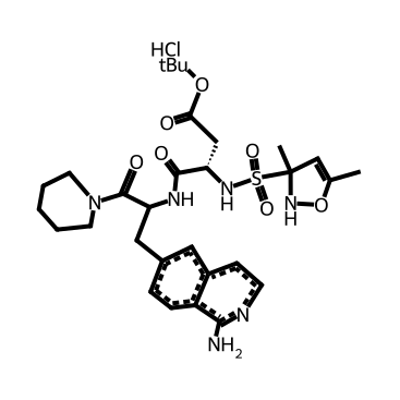 CC1=CC(C)(S(=O)(=O)N[C@@H](CC(=O)OC(C)(C)C)C(=O)NC(Cc2ccc3c(N)nccc3c2)C(=O)N2CCCCC2)NO1.Cl